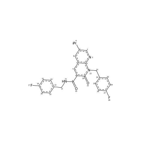 CC(C)c1cnc2c(c1)cc(C(=O)NCc1ccc(F)cc1)c(=O)n2Cc1ccc(F)cc1